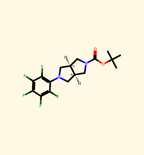 CC(C)(C)OC(=O)N1C[C@@H]2CN(c3c(F)c(F)c(F)c(F)c3F)C[C@@H]2C1